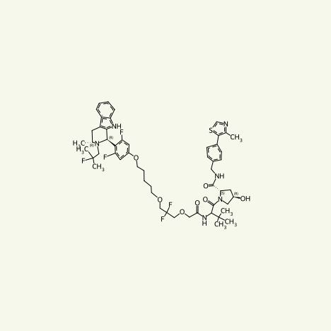 Cc1ncsc1-c1ccc(CNC(=O)[C@@H]2C[C@@H](O)CN2C(=O)C(NC(=O)COCC(F)(F)COCCCCCOc2cc(F)c([C@@H]3c4[nH]c5ccccc5c4C[C@@H](C)N3CC(C)(C)F)c(F)c2)C(C)(C)C)cc1